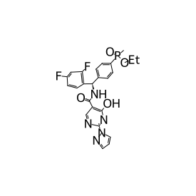 CCOP(C)(=O)c1ccc([C@@H](NC(=O)c2cnc(-n3cccn3)nc2O)c2ccc(F)cc2F)cc1